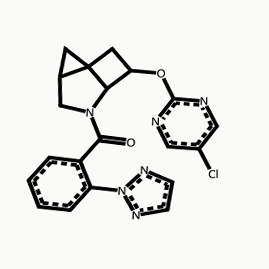 O=C(c1ccccc1-n1nccn1)N1CC2CC23CC(Oc2ncc(Cl)cn2)C13